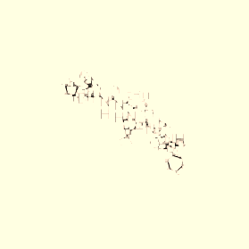 CN(C[C@@H](NC(=O)N[C@H](C(=O)N1CC2C([C@H]1C(=O)NC1(C(=O)NS(=O)(=O)c3ccccc3)CC1)C2(C)C)C(C)(C)C)C(C)(C)C)S(=O)(=O)c1cccs1